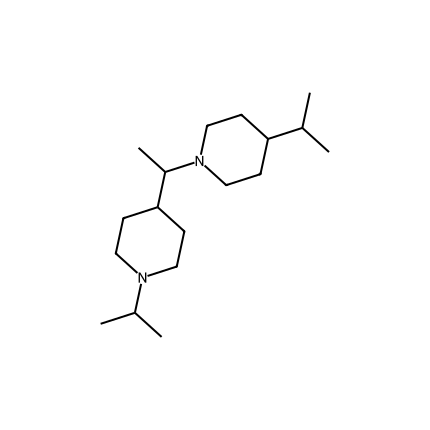 CC(C)C1CCN(C(C)C2CCN(C(C)C)CC2)CC1